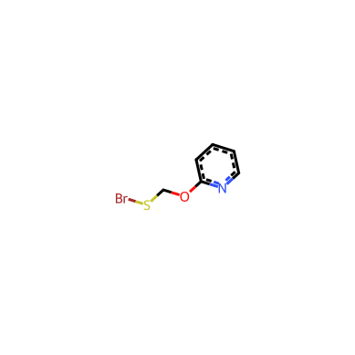 BrSCOc1ccccn1